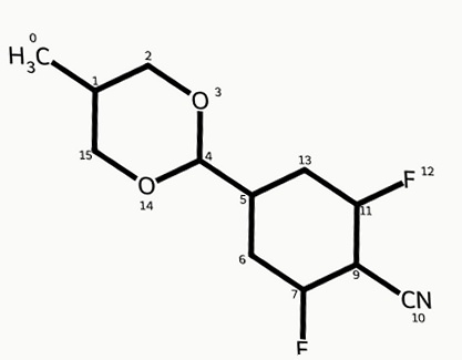 CC1COC(C2CC(F)C(C#N)C(F)C2)OC1